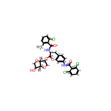 Cc1cccc(Cl)c1C(=O)N[C@@H](Cc1ccc(NC(=O)c2c(Cl)cccc2Cl)cc1)C(=O)O[C@H]1CO[C@H]2[C@@H]1OC[C@@H]2O